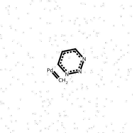 [CH2]=[Pd].c1cnnnc1